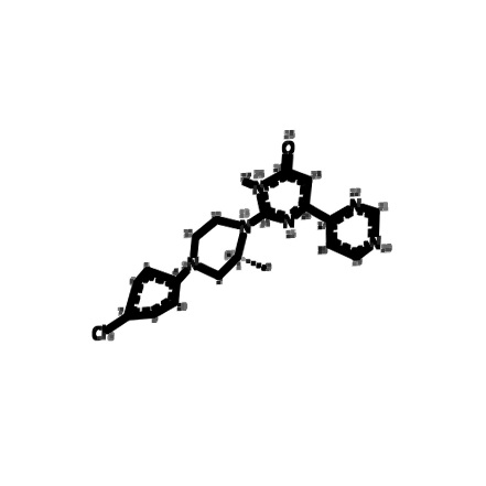 C[C@@H]1CN(c2ccc(Cl)cc2)CCN1c1nc(-c2ccncn2)cc(=O)n1C